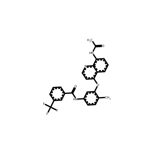 CC(=O)Nc1cccc2c(Oc3cc(NC(=O)c4cccc(C(F)(F)F)c4)ccc3C)ccnc12